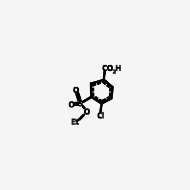 CCOS(=O)(=O)c1cc(C(=O)O)ccc1Cl